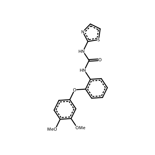 COc1ccc(Oc2ccccc2NC(=O)Nc2nccs2)cc1OC